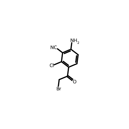 N#Cc1c(N)ccc(C(=O)CBr)c1Cl